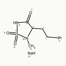 CC(C)CCC1C(=O)NS(=O)(=O)N1C.[NaH]